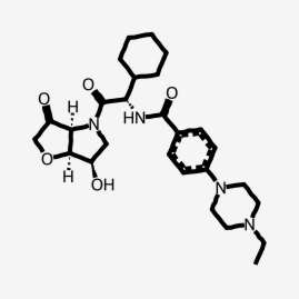 CCN1CCN(c2ccc(C(=O)N[C@H](C(=O)N3C[C@@H](O)[C@H]4OCC(=O)[C@H]43)C3CCCCC3)cc2)CC1